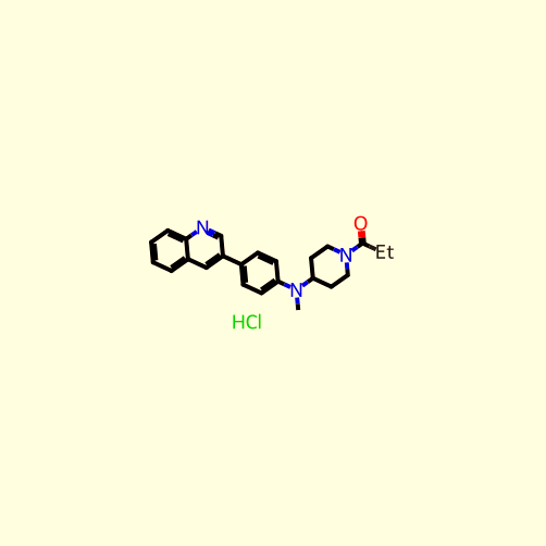 CCC(=O)N1CCC(N(C)c2ccc(-c3cnc4ccccc4c3)cc2)CC1.Cl